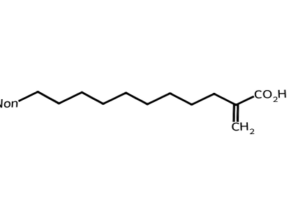 C=C(CCCCCCCCCCCCCCCCCC)C(=O)O